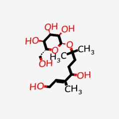 CC(=CCO)C(O)CCC(C)(C)O[C@@H]1O[C@H](CO)[C@@H](O)[C@H](O)[C@H]1O